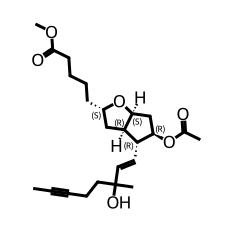 CC#CCCC(C)(O)C=C[C@@H]1[C@H]2C[C@H](CCCCC(=O)OC)O[C@H]2C[C@H]1OC(C)=O